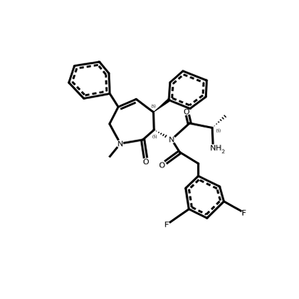 C[C@H](N)C(=O)N(C(=O)Cc1cc(F)cc(F)c1)[C@@H]1C(=O)N(C)CC(c2ccccc2)=C[C@H]1c1ccccc1